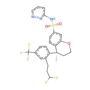 C[C@@]1(c2ccc(C(F)(F)F)cc2CCC(F)F)CCOc2cc(S(=O)(=O)Nc3cccnn3)ccc21